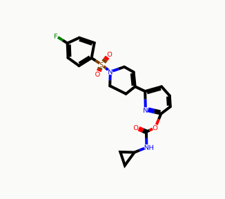 O=C(NC1CC1)Oc1cccc(C2=CCN(S(=O)(=O)c3ccc(F)cc3)CC2)n1